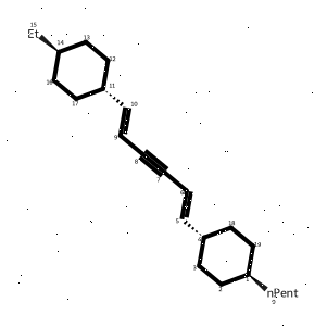 CCCCC[C@H]1CC[C@H](C=CC#CC=C[C@H]2CC[C@H](CC)CC2)CC1